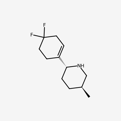 C[C@H]1CC[C@H](C2=CCC(F)(F)CC2)NC1